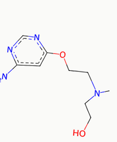 CN(CCO)CCOc1cc(N)ncn1